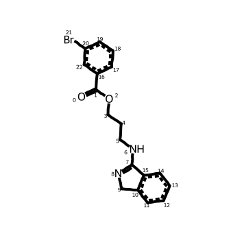 O=C(OCCCNC1=NCc2ccccc21)c1cccc(Br)c1